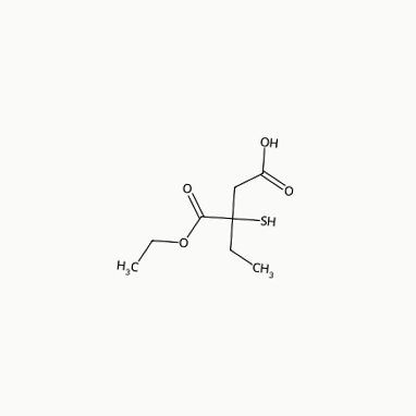 CCOC(=O)C(S)(CC)CC(=O)O